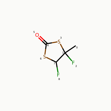 CC1(F)SC(=O)SC1F